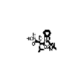 CO[C@H](C(=O)NO)[C@@H](CC(C)C)C(=O)N[C@@H](Cc1ccccc1)c1nc(C)no1